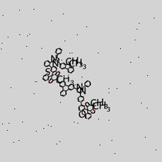 CC1(C)c2ccccc2-c2ccc(-c3cc(-c4ccccc4)nc(-c4ccccc4-c4cccc5c4Sc4ccccc4C54c5ccccc5C(C)(Cc5ccc6c7ccc(-c8cc(-c9ccc(-c%10ccc%11c(c%10)C%10(c%12ccccc%12O%11)c%11ccccc%11C(C)(C)c%11ccccc%11%10)cc9)nc(-c9ccccc9)n8)cc7c7ccccc7c6c5)c5ccccc54)n3)cc21